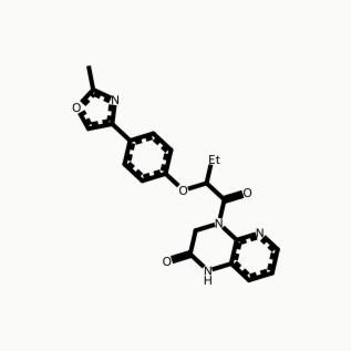 CCC(Oc1ccc(-c2coc(C)n2)cc1)C(=O)N1CC(=O)Nc2cccnc21